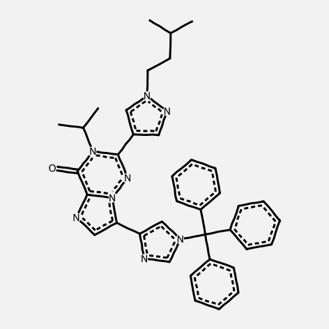 CC(C)CCn1cc(-c2nn3c(-c4cn(C(c5ccccc5)(c5ccccc5)c5ccccc5)cn4)cnc3c(=O)n2C(C)C)cn1